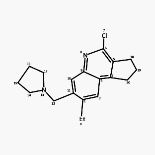 CCc1cc2c3c(c(Cl)nc2cc1CN1CCCC1)CCC3